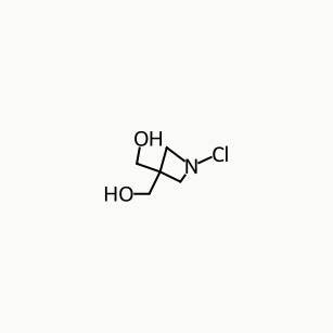 OCC1(CO)CN(Cl)C1